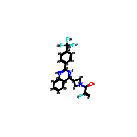 C=C(F)C(=O)N1CC(c2nc(-c3ccc(C(F)(F)F)cc3)nc3ccccc23)C1